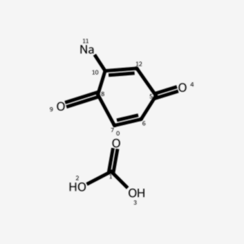 O=C(O)O.O=C1C=CC(=O)[C]([Na])=C1